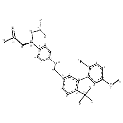 COc1ccc(F)c(-c2cc(COc3ccc([C@@H](CC(C)=O)CC(C)C)cc3)ccc2C(C)(C)C)c1